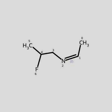 C/C=N\CC(C)F